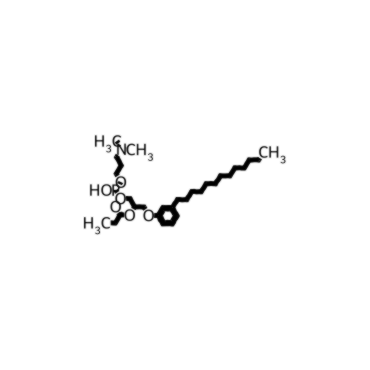 CCCCCCCCCCCCCc1cccc(OCC(COP(O)OCCCN(C)C)OC(=O)CC)c1